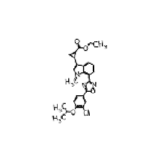 CCOC(=O)C1CC1c1cn(C)c2c(-c3noc(-c4ccc(OC(C)C)c(Cl)c4)n3)cccc12